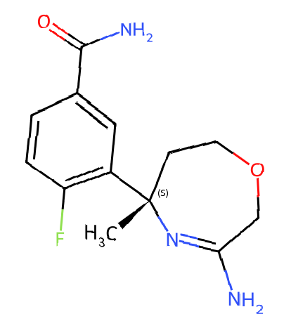 C[C@@]1(c2cc(C(N)=O)ccc2F)CCOCC(N)=N1